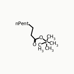 CCCCCCCC(=O)OP(C)(C)(C)C